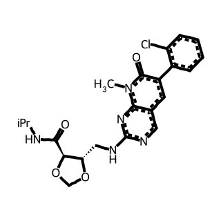 CC(C)NC(=O)[C@@H]1OCO[C@H]1CNc1ncc2cc(-c3ccccc3Cl)c(=O)n(C)c2n1